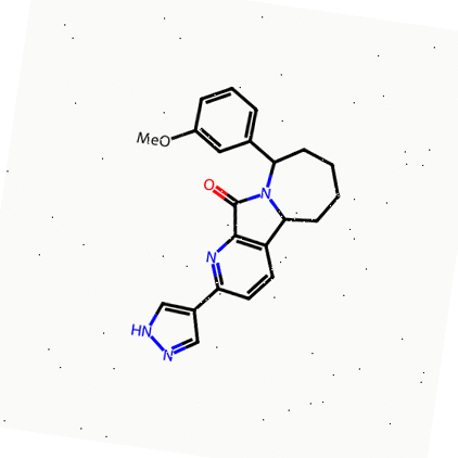 COc1cccc(C2CCCCC3c4ccc(-c5cn[nH]c5)nc4C(=O)N23)c1